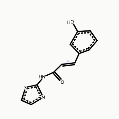 O=C(/C=C/c1cccc(O)c1)Nc1nccs1